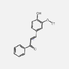 CCOc1cc(/C=C/C(=O)c2ccccc2)ccc1O